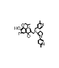 Cc1ccc(N2CCC[C@H](N(Cc3ccnc(C)c3)Cc3cn4c5c(c(O)c(F)cc5c3=O)OCC4C)C2)cn1